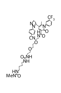 CNC(=O)NCCCCNC(=O)NCCOCCOCCNC(=O)c1cc(-c2ccnn2-c2ccc(C#N)cc2)c(C)n(-c2cccc(C(F)(F)F)c2)c1=O